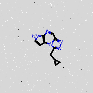 c1cc2c(ncc3nnc(CC4CC4)n32)[nH]1